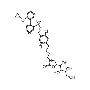 O=C1O[C@H](C(O)C(O)C(O)CO)CN1CCCCc1cc(Cl)c(COC2(c3cnccc3-c3ccccc3OC3CC3)CC2)cc1Cl